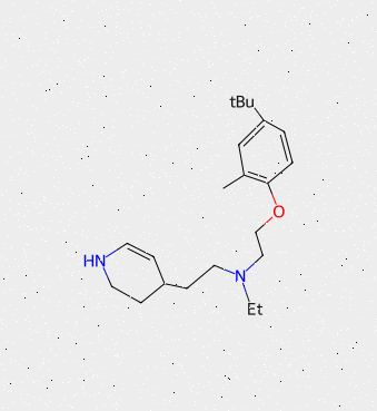 CCN(CCOc1ccc(C(C)(C)C)cc1C)CCC1C=CNCC1